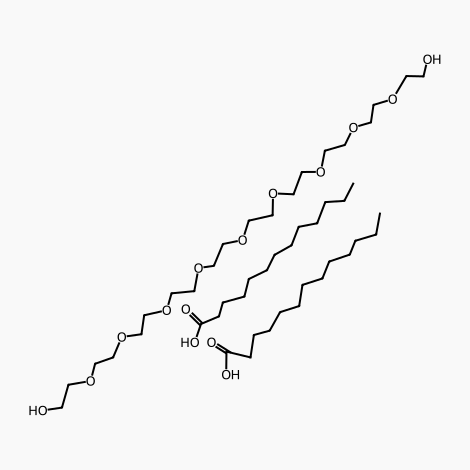 CCCCCCCCCCCCC(=O)O.CCCCCCCCCCCCC(=O)O.OCCOCCOCCOCCOCCOCCOCCOCCOCCOCCO